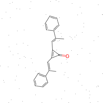 C/C(=C\c1c(/C=C(\C)c2ccccc2)c1=O)c1ccccc1